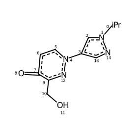 CC(C)n1cc(-n2ccc(=O)c(CO)n2)cn1